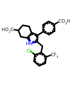 O=C(O)c1ccc(-c2c(Cc3c(Cl)cccc3C(F)(F)F)[nH]c3c2CCC(C(=O)O)C3)cc1